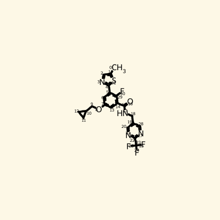 Cc1cnc(-c2cc(OCC3CC3)cc(C(=O)NCc3cnc(C(F)(F)F)nc3)c2F)s1